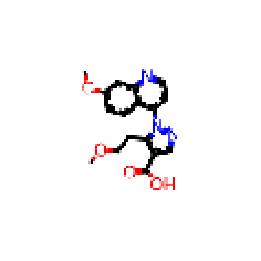 COCCc1c(C(=O)O)cnn1-c1ccnc2cc(OC)ccc12